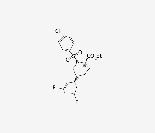 CCOC(=O)[C@H]1CC[C@@H](C2C=C(F)C=C(F)C2)CN1S(=O)(=O)c1ccc(Cl)cc1